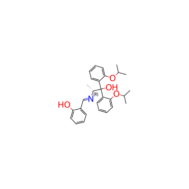 CC(C)Oc1ccccc1C(O)(c1ccccc1OC(C)C)[C@@H](C)N=Cc1ccccc1O